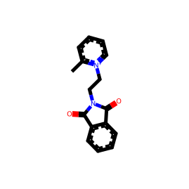 Cc1cccc[n+]1CCN1C(=O)c2ccccc2C1=O